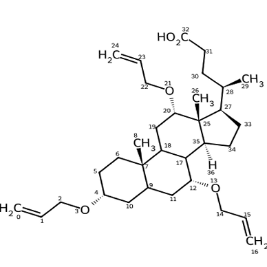 C=CCO[C@@H]1CC[C@@]2(C)C(C1)C[C@@H](OCC=C)C1C2C[C@H](OCC=C)[C@]2(C)[C@@H]([C@H](C)CCC(=O)O)CC[C@@H]12